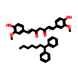 CCCCCCC(c1ccccc1)c1ccccc1.COc1cc(/C=C/C(=O)CC(=O)/C=C/c2ccc(O)c(OC)c2)ccc1O